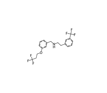 FC(F)(F)CCOc1cccc(CNCCc2cccc(C(F)(F)F)c2)c1